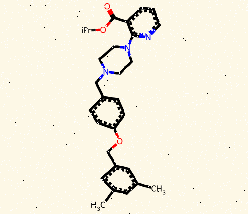 Cc1cc(C)cc(COc2ccc(CN3CCN(c4ncccc4C(=O)OC(C)C)CC3)cc2)c1